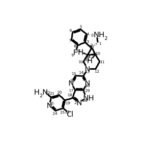 NC[C@]1(c2ccccc2F)[C@@H]2CCN(c3cnc4c(-c5cc(N)ncc5Cl)n[nH]c4n3)C[C@@H]21